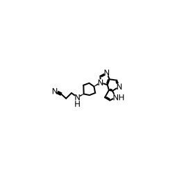 N#CCCN[C@H]1CC[C@@H](n2cnc3cnc4[nH]ccc4c32)CC1